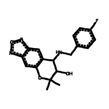 CC1(C)Oc2cc3nonc3cc2C(NCc2ccc(F)cc2)C1O